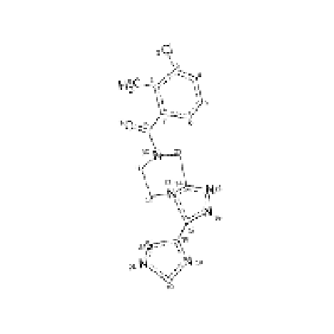 Cc1c(Cl)cccc1C(=O)N1CCn2c(nnc2-c2ncns2)C1